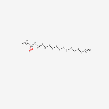 COCCCCCCCCCCCC=CCC(O)C(=O)O